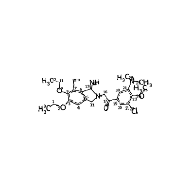 CCOc1cc2c(c(F)c1OCC)C(=N)N(CC(=O)c1cc(Cl)c(OC)c(N(C)C)c1)C2